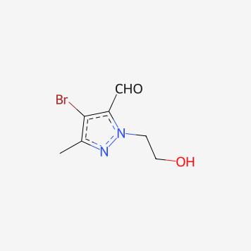 Cc1nn(CCO)c(C=O)c1Br